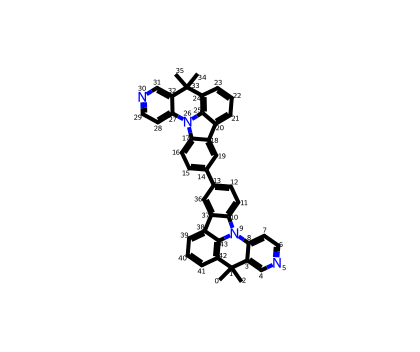 CC1(C)c2cnccc2-n2c3ccc(-c4ccc5c(c4)c4cccc6c4n5-c4ccncc4C6(C)C)cc3c3cccc1c32